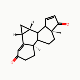 C[C@]12CCC(=O)C=C1[C@@H]1C[C@@H]1C1C2CC[C@]2(C)C(=O)C=CC12